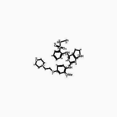 COc1cc(OCCN2CCOCC2)ccc1Nc1nc2c(c(Nc3ccccc3S(=O)(=O)NC(C)C)n1)CCN2